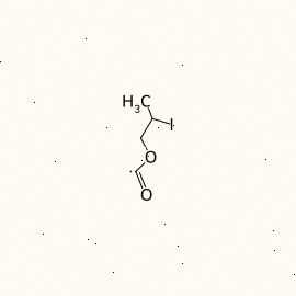 CC(I)CO[C]=O